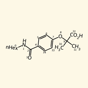 CCCCCCNC(=O)c1ccc(OC(C)(C)C(=O)O)cc1